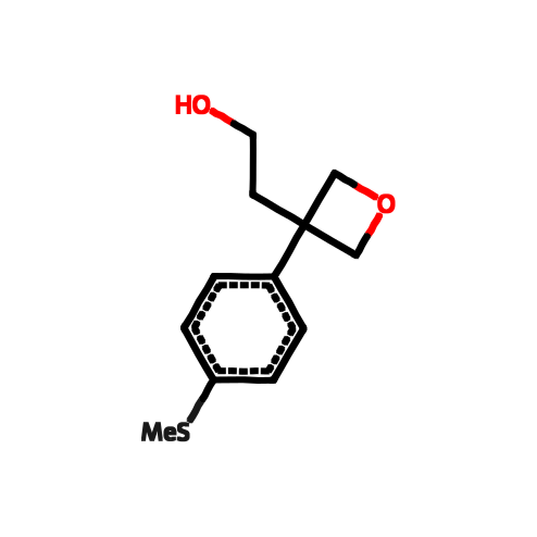 CSc1ccc(C2(CCO)COC2)cc1